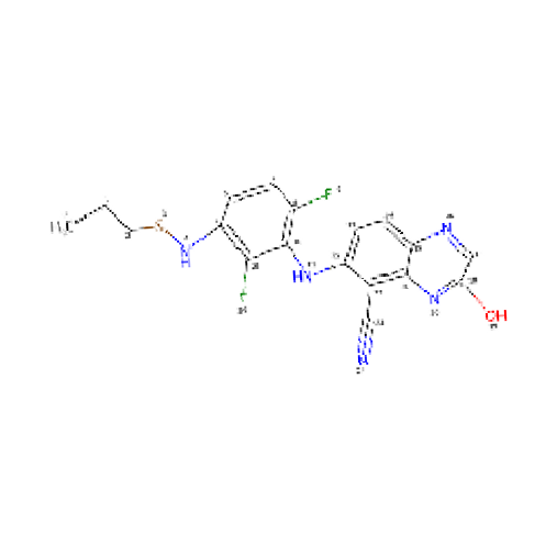 CCCSNc1ccc(F)c(Nc2ccc3ncc(O)nc3c2C#N)c1F